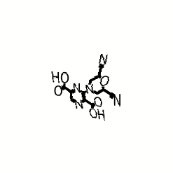 N#CC1CN(c2nc(C(=O)O)cnc2C(=O)O)CC(C#N)O1